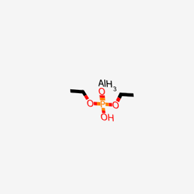 CCOP(=O)(O)OCC.[AlH3]